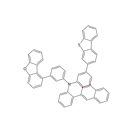 c1cc(-c2ccc3c(c2)sc2ccccc23)cc(N(c2cccc(-c3cccc4oc5ccccc5c34)c2)c2ccccc2-c2ccc3ccccc3c2)c1